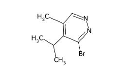 Cc1cnnc(Br)c1C(C)C